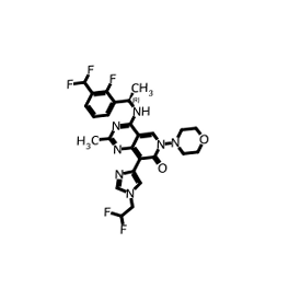 Cc1nc(N[C@H](C)c2cccc(C(F)F)c2F)c2cn(N3CCOCC3)c(=O)c(-c3cn(CC(F)F)cn3)c2n1